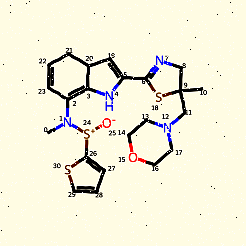 CN(C1=C2NC(C3=NCC(C)(CN4CCOCC4)S3)=CC2CC=C1)[S+]([O-])c1cccs1